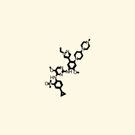 CCn1cc(-c2cc(Nc3ncc(OC)c(Nc4ccc(C5CC5)cc4P(C)(C)=O)n3)c(OC)cc2N2CCC(N3CCN(C)CC3)CC2)cn1